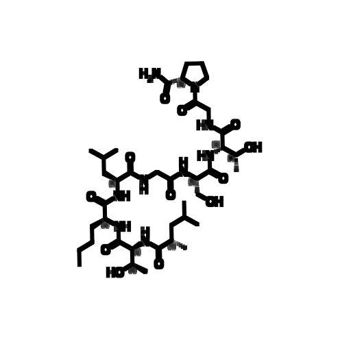 CCCC[C@H](NC(=O)[C@@H](NC(=O)[C@@H](C)CC(C)C)[C@@H](C)O)C(=O)N[C@@H](CC(C)C)C(=O)NCC(=O)N[C@@H](CO)C(=O)N[C@H](C(=O)NCC(=O)N1CCC[C@H]1C(N)=O)[C@@H](C)O